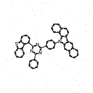 c1ccc(-c2nc(-c3ccc(-n4c5cc6ccccc6cc5c5ccc6ccccc6c54)cc3)nc(-c3cccc4sc5ccccc5c34)n2)cc1